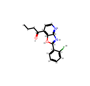 CCCC(=O)c1ccnc2nc(-c3ccccc3F)oc12